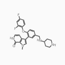 Cn1cc(-c2cc(CNC3CCNCC3)ccc2Oc2ccc(F)cc2F)c2cc[nH]c(=O)c21